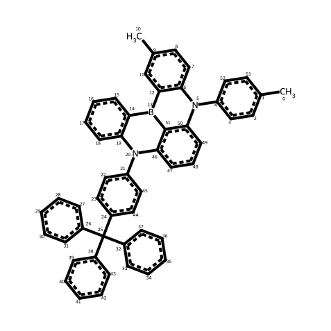 Cc1ccc(N2c3ccc(C)cc3B3c4ccccc4N(c4ccc(C(c5ccccc5)(c5ccccc5)c5ccccc5)cc4)c4cccc2c43)cc1